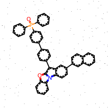 O=P(c1ccccc1)(c1ccccc1)c1ccc(-c2ccc(-c3c4cc(-c5ccc6ccccc6c5)ccc4n4c3oc3ccccc34)cc2)cc1